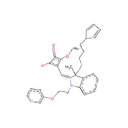 CCCCOc1c(/C=C2/N(CCOc3ccccc3)c3ccccc3C2(C)CCCCC2C=CC=C2)c(=O)c1=O